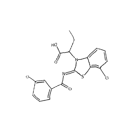 CCC(C(=O)O)n1c(=NC(=O)c2cccc(Cl)c2)sc2c(Cl)cccc21